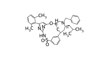 Cc1cccc(C)c1-c1cc2nc(n1)NS(=O)(=O)c1cccc(c1)C1C[C@@H](CN(Cc3ccccc3)[C@@H](CC(C)C)C1)O2